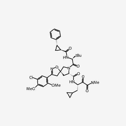 CNC(=O)C(=O)[C@H](CC1CC1)NC(=O)[C@@H]1C[C@]2(CC(c3cc(Cl)c(OC)cc3OC)=NO2)CN1C(=O)[C@@H](NC(=O)[C@H]1C[C@@H]1c1ccccc1)C(C)(C)C